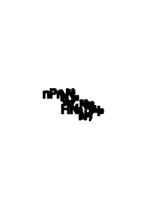 CCCn1cc(Nc2ncc(I)cn2)cn1